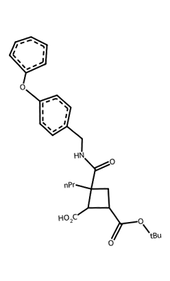 CCCC1(C(=O)NCc2ccc(Oc3ccccc3)cc2)CC(C(=O)OC(C)(C)C)C1C(=O)O